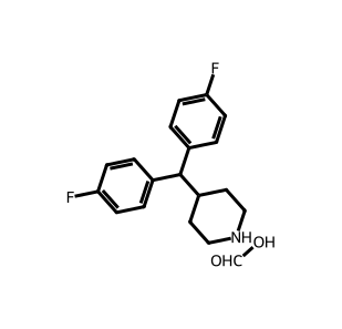 Fc1ccc(C(c2ccc(F)cc2)C2CCNCC2)cc1.O=CO